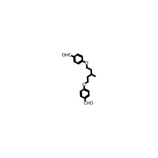 CC(CCOc1ccc(C=O)cc1)CCOc1ccc(C=O)cc1